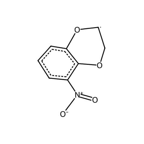 O=[N+]([O-])c1cccc2c1OC[CH]O2